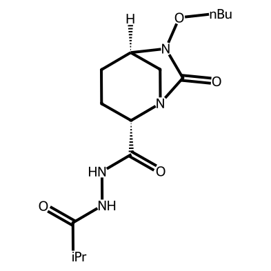 CCCCON1C(=O)N2C[C@H]1CC[C@H]2C(=O)NNC(=O)C(C)C